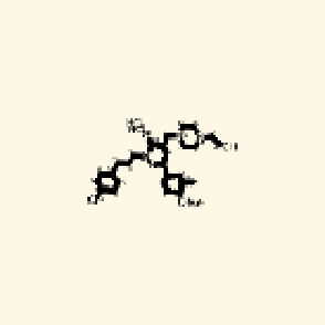 COc1ccc(-c2cc(CN3CCN(CCO)CC3)c(=O)n(CC=Cc3ccc(Cl)cc3)n2)cc1F.Cl.Cl